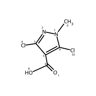 Cn1nc(Cl)c(C(=O)O)c1Cl